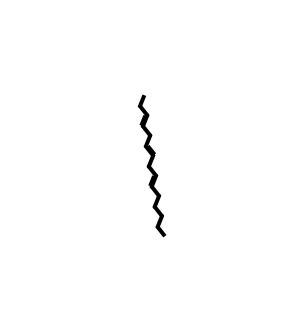 CC/C=C/C/C=C/C/C=C/CCCCC